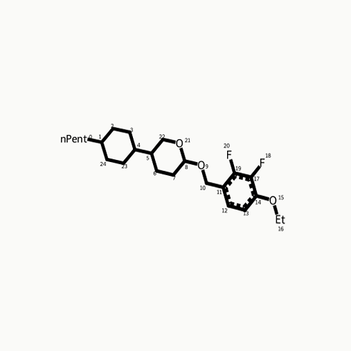 CCCCCC1CCC(C2CCC(OCc3ccc(OCC)c(F)c3F)OC2)CC1